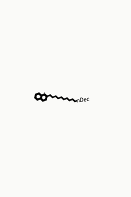 CCCCCCCCCCCCCCCCCCCCc1[c]c2ccccc2cc1